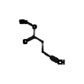 C#CCCC(=O)OC(C)(C)C